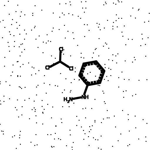 ClC(Cl)Cl.NNc1ccccc1